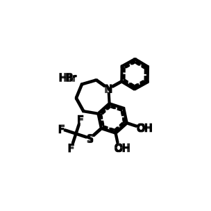 Br.Oc1cc2c(c(SC(F)(F)F)c1O)CCCCN2c1ccccc1